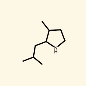 [CH2]C(C)CC1NCCC1C